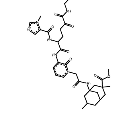 CCNC(=O)C(=O)CCC(NC(=O)c1cncn1C)C(=O)Nc1cccn(CC(=O)NC23CC(C)CC(C2)CC(C)(C(=O)OC)C3)c1=O